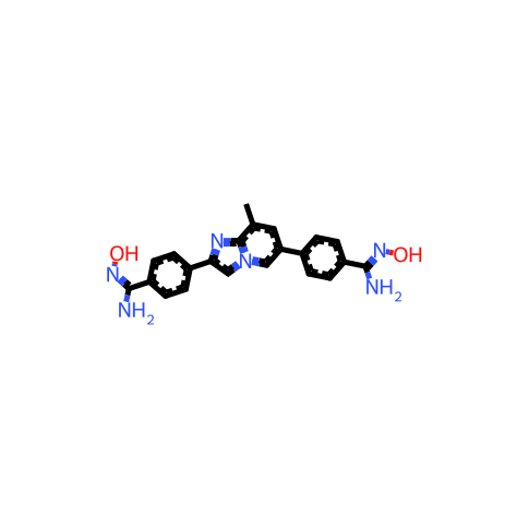 Cc1cc(-c2ccc(/C(N)=N/O)cc2)cn2cc(-c3ccc(/C(N)=N\O)cc3)nc12